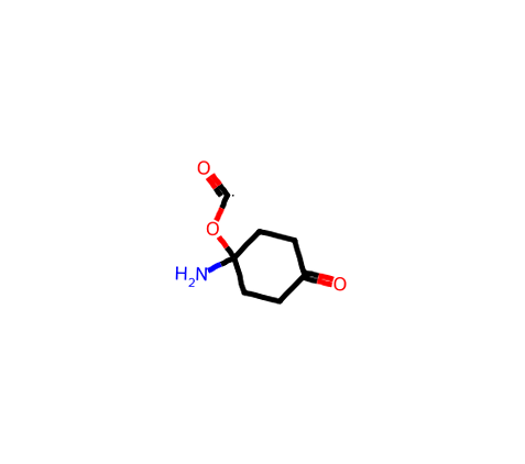 NC1(O[C]=O)CCC(=O)CC1